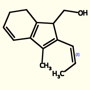 C/C=C\C1=C(C)C2=C(CCC=C2)C1CO